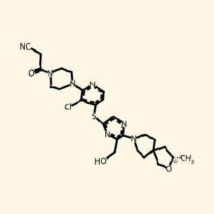 C[C@H]1CC2(CCN(c3ncc(Sc4ccnc(N5CCN(C(=O)CC#N)CC5)c4Cl)nc3CO)CC2)CO1